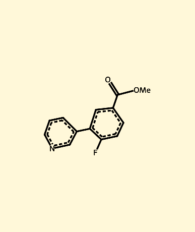 COC(=O)c1ccc(F)c(-c2cccnc2)c1